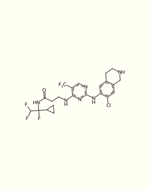 O=C(CCNc1nc(Nc2cc3c(cc2Cl)CNCC3)ncc1C(F)(F)F)NC(F)(C(F)F)C1CC1